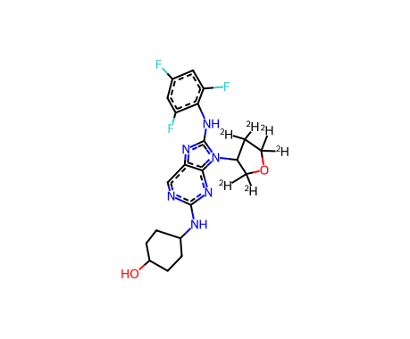 [2H]C1([2H])OC([2H])([2H])C([2H])([2H])C1n1c(Nc2c(F)cc(F)cc2F)nc2cnc(NC3CCC(O)CC3)nc21